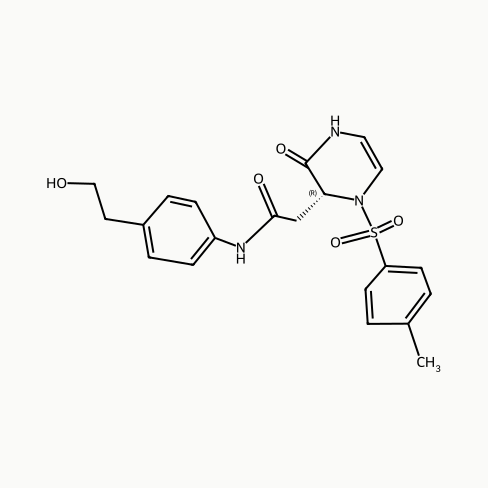 Cc1ccc(S(=O)(=O)N2C=CNC(=O)[C@H]2CC(=O)Nc2ccc(CCO)cc2)cc1